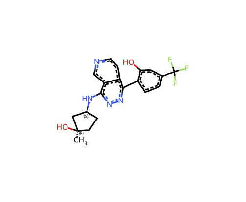 C[C@@]1(O)CC[C@H](Nc2nnc(-c3ccc(C(F)(F)F)cc3O)c3ccncc23)C1